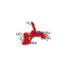 COc1cc2c(cc1OCCCCCOc1cc3c(cc1OC)C(=O)N1CC4(CC4)C[C@H]1[C@H](O)N3C(=O)OCc1ccc(NC(=O)[C@H](CO[C@@H]3O[C@H](C(=O)O)[C@@H](O)[C@H](O)[C@H]3O)NC(=O)[C@@H](NC(C)=O)C(C)C)cc1C(=O)NCCOCCOCCOCCOCCN)N(C(=O)OCc1ccc(O[C@@H]3O[C@H](C(=O)O)[C@@H](O)[C@H](O)[C@H]3O)c([N+](=O)[O-])c1)[C@@H](O)[C@@H]1Cc3ccccc3CN1C2=O